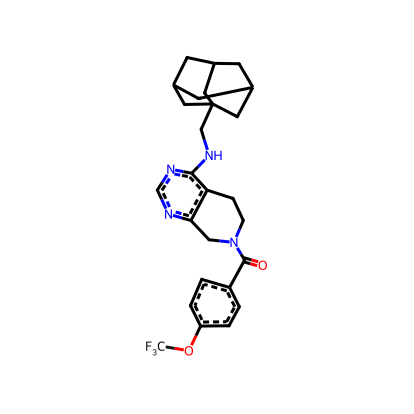 O=C(c1ccc(OC(F)(F)F)cc1)N1CCc2c(ncnc2NCC23CC4CC(CC(C4)C2)C3)C1